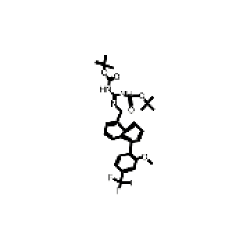 COc1cc(C(F)(F)F)ccc1-c1cccc2c(CN=C(NC(=O)OC(C)(C)C)NC(=O)OC(C)(C)C)cccc12